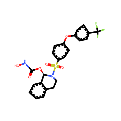 O=C(NO)O[C@@H]1c2ccccc2CCN1S(=O)(=O)c1ccc(Oc2ccc(C(F)(F)F)cc2)cc1